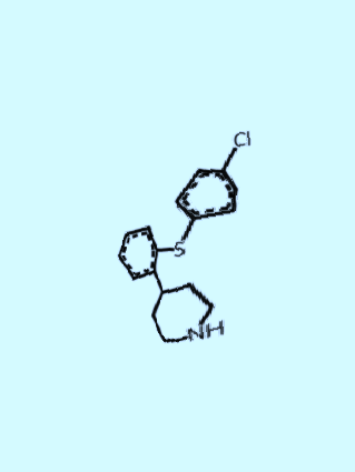 Clc1ccc(Sc2ccccc2C2CCNCC2)cc1